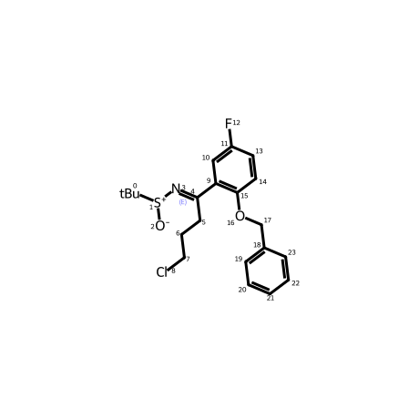 CC(C)(C)[S+]([O-])/N=C(\CCCCl)c1cc(F)ccc1OCc1ccccc1